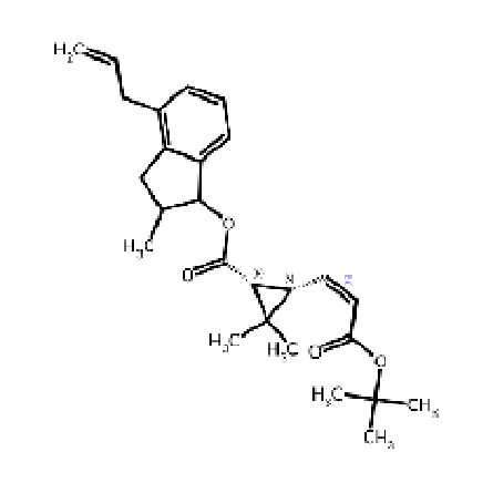 C=CCc1cccc2c1CC(C)C2OC(=O)[C@@H]1[C@H](/C=C\C(=O)OC(C)(C)C)C1(C)C